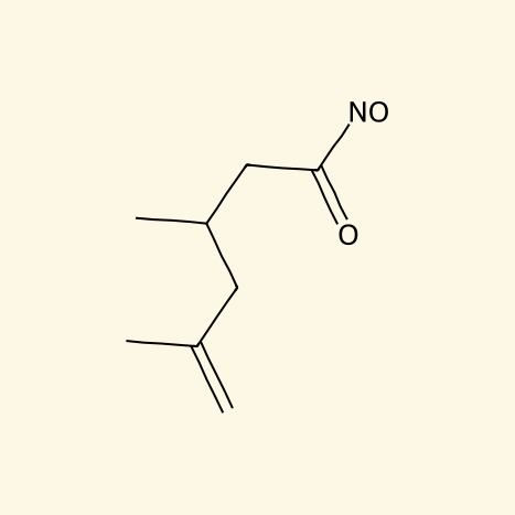 C=C(C)CC(C)CC(=O)N=O